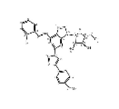 COc1ccc(-c2cnn(-c3nc(NCc4ccccc4F)c4ncn([C@@H]5O[C@H](CO)[C@@H](O)[C@H]5O)c4n3)c2)cc1